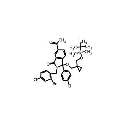 CC(=O)c1ccc2c(c1)C(=O)N(Cc1ccc(Cl)cc1Br)C2(OCC1(CO[Si](C)(C)C(C)(C)C)CC1)c1ccc(Cl)cc1